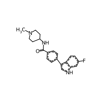 CN1CCC(NC(=O)c2ccc(-c3c[nH]c4cc(F)ccc34)cc2)CC1